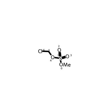 COS(=O)(=O)OCCl